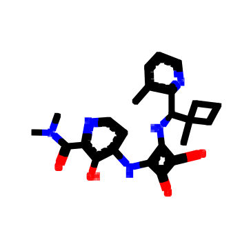 Cc1cccnc1[C@H](Nc1c(Nc2ccnc(C(=O)N(C)C)c2O)c(=O)c1=O)C1(C)CCC1